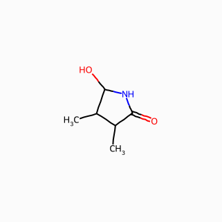 CC1C(=O)NC(O)C1C